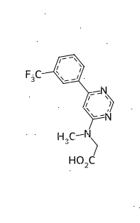 CN(CC(=O)O)c1cc(-c2cccc(C(F)(F)F)c2)ncn1